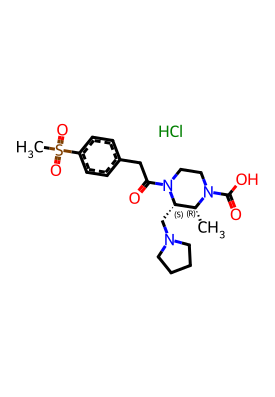 C[C@@H]1[C@H](CN2CCCC2)N(C(=O)Cc2ccc(S(C)(=O)=O)cc2)CCN1C(=O)O.Cl